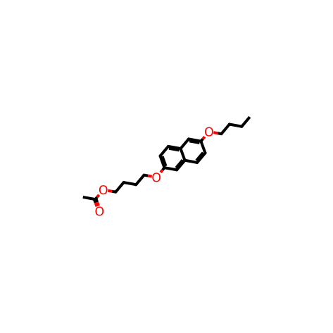 CCCCOc1ccc2cc(OCCCCOC(C)=O)ccc2c1